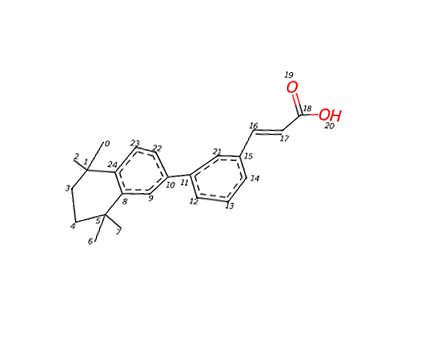 CC1(C)CCC(C)(C)c2cc(-c3cccc(/C=C/C(=O)O)c3)ccc21